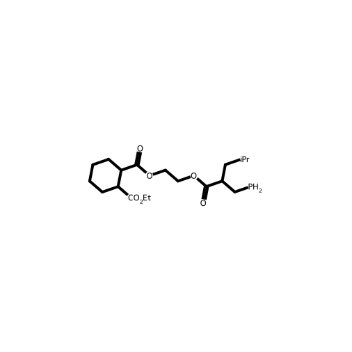 CCOC(=O)C1CCCCC1C(=O)OCCOC(=O)C(CP)CC(C)C